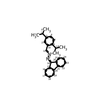 CC(C)c1ccc(C(C)C)c(/C=N/N=C2c3ccccc3-c3ccccc32)c1